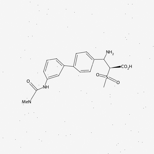 CNC(=O)Nc1cccc(-c2ccc(C(N)[C@@H](C(=O)O)S(C)(=O)=O)cc2)c1